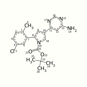 Cc1ccc(Cl)cc1-c1cc(-c2cc(N)ncn2)cn1C(=O)OC(C)(C)C